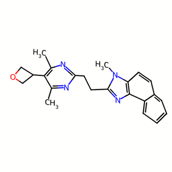 Cc1nc(CCc2nc3c4ccccc4ccc3n2C)nc(C)c1C1COC1